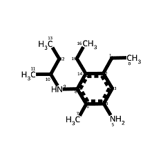 CCc1cc(N)c(C)c(NC(C)CC)c1CC